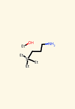 CCO.CC[Si](CC)(CC)CCCN